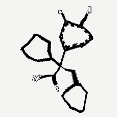 O=C(O)[C@@](CC1CCCC1)(c1ccc(Cl)c(Cl)c1)C1CCCC1